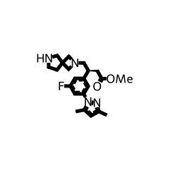 COC(=O)C[C@H](CN1CC2(CCNC2)C1)c1cc(F)cc(-n2nc(C)cc2C)c1